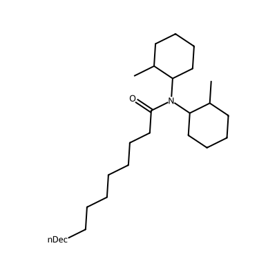 CCCCCCCCCCCCCCCCCC(=O)N(C1CCCCC1C)C1CCCCC1C